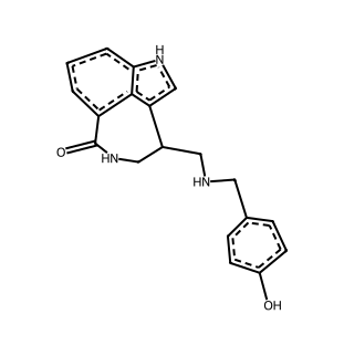 O=C1NCC(CNCc2ccc(O)cc2)c2c[nH]c3cccc1c23